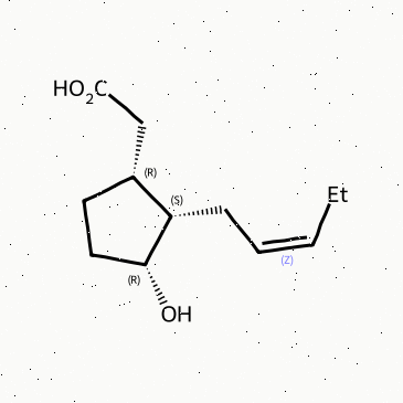 CC/C=C\C[C@H]1[C@@H](CC(=O)O)CC[C@H]1O